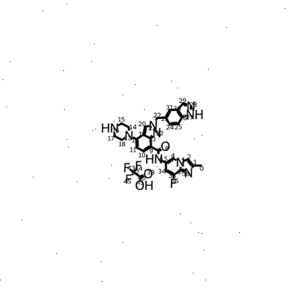 Cc1cn2cc(NC(=O)c3ccc(N4CCNCC4)c4cn(Cc5ccc6[nH]ncc6c5)nc34)cc(F)c2n1.O=C(O)C(F)(F)F